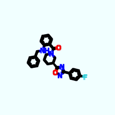 O=C(c1ccccc1NCc1ccccc1)N1CCC[C@H](c2nc(-c3ccc(F)cc3)no2)C1